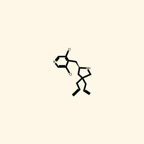 C=CCC1(CC=C)CN[C@H](Cc2c(Cl)cncc2Cl)C1